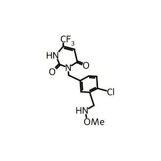 CONCc1cc(Cn2c(=O)cc(C(F)(F)F)[nH]c2=O)ccc1Cl